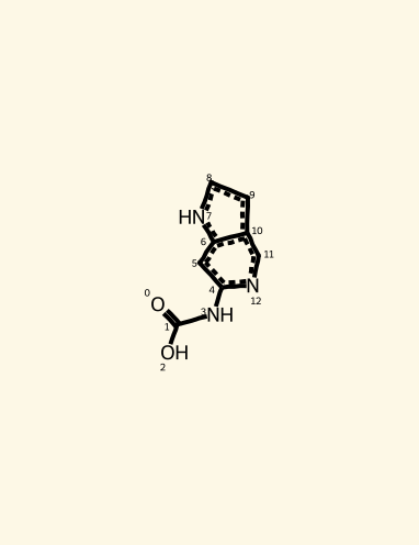 O=C(O)Nc1cc2[nH]ccc2cn1